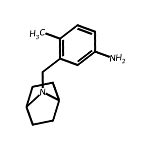 Cc1ccc(N)cc1CN1C2CCC1CC2